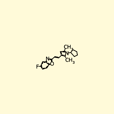 Cc1cc(C=Cc2nc3cc(F)ccc3o2)c(C)n1C1CCCC1